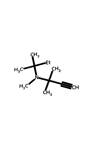 C#CC(C)(C)N(C)C(C)(C)CC